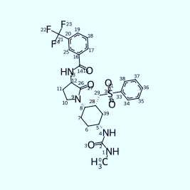 CNC(=O)N[C@@H]1CC[C@H](N2CCC(NC(=O)c3cccc(C(F)(F)F)c3)C2=O)[C@H](CS(=O)(=O)c2ccccc2)C1